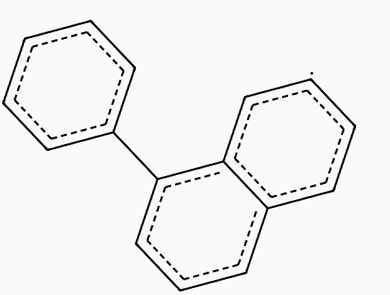 [c]1ccc2cccc(-c3ccccc3)c2c1